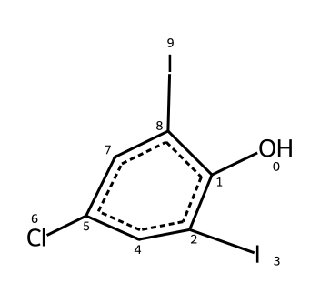 Oc1c(I)cc(Cl)cc1I